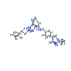 CC(C)n1cc(-c2ccc(CNc3ccnc4[nH]c(CCc5ccco5)nc34)cc2)cn1